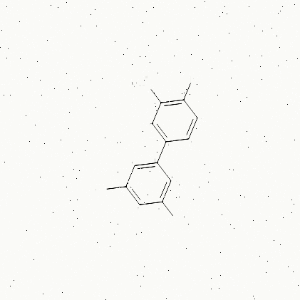 Bc1ccc(-c2cc(F)cc(F)c2)cc1OC